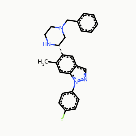 Cc1cc2c(cnn2-c2ccc(F)cc2)cc1[C@H]1CN(Cc2ccccc2)CCN1